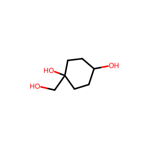 OCC1(O)CCC(O)CC1